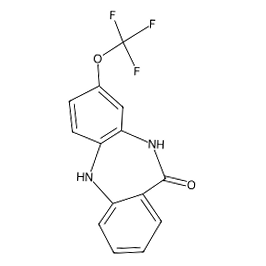 O=C1Nc2cc(OC(F)(F)F)ccc2Nc2ccccc21